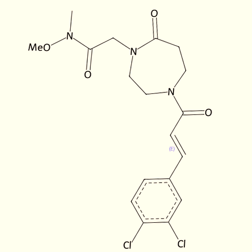 CON(C)C(=O)CN1CCN(C(=O)/C=C/c2ccc(Cl)c(Cl)c2)CCC1=O